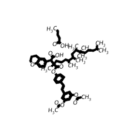 CC(=O)Oc1cc(/C=C/c2ccc(OC(=O)C(C)(CCCC(C)C(C)CC(C)C(C)(C)CCCC(C)C)C(C(=O)O)c3ccc4c(c3)CCCO4)cc2)cc(OC(C)=O)c1.CCCCC(=O)O